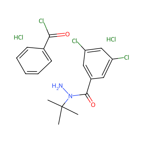 CC(C)(C)N(N)C(=O)c1cc(Cl)cc(Cl)c1.Cl.Cl.O=C(Cl)c1ccccc1